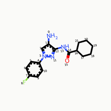 Nc1cn(-c2ccc(F)cc2)nc1NC(=O)C1CCCCC1